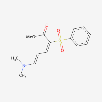 COC(=O)C(=CC=CN(C)C)S(=O)(=O)c1ccccc1